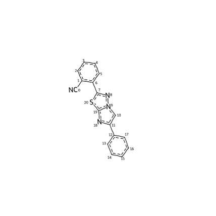 N#Cc1ccccc1-c1nn2cc(-c3ccccc3)nc2s1